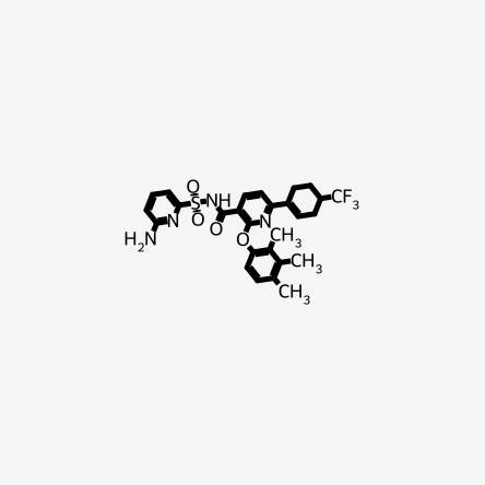 Cc1ccc(Oc2nc(C3=CCC(C(F)(F)F)CC3)ccc2C(=O)NS(=O)(=O)c2cccc(N)n2)c(C)c1C